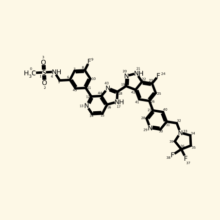 CS(=O)(=O)NCc1cc(F)cc(-c2nccc3[nH]c(-c4n[nH]c5c(F)cc(-c6cncc(CN7CCC(F)(F)C7)c6)cc45)nc23)c1